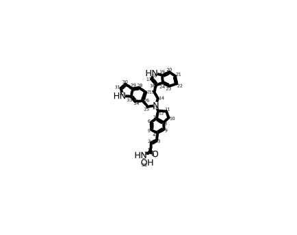 O=C(/C=C/c1ccc2c(c1)CCC2N(CCc1c[nH]c2ccccc12)Cc1ccc2cc[nH]c2c1)NO